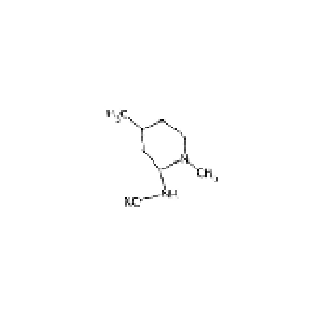 CC1CCN(C)C(NC#N)C1